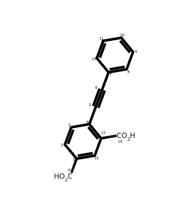 O=C(O)c1ccc(C#Cc2ccccc2)c(C(=O)O)c1